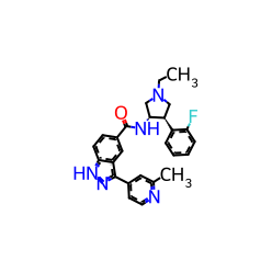 CCN1C[C@@H](NC(=O)c2ccc3[nH]nc(-c4ccnc(C)c4)c3c2)[C@H](c2ccccc2F)C1